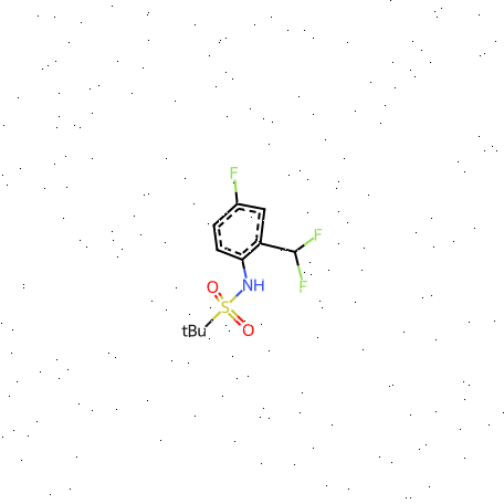 CC(C)(C)S(=O)(=O)Nc1ccc(F)cc1C(F)F